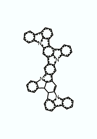 C1=C2C(c3cccc4c5ccccc5n2c34)C2c3ccccc3-n3c2c1c1cc2c(cc13)c1cc3c(c4cccc5c6ccccc6n3c54)c3c4ccccc4n2c13